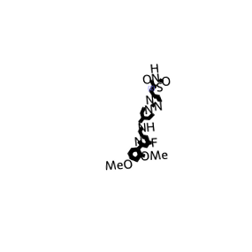 COc1ccc(-c2cc(F)cc(CNCC3CCN(c4nccc(/C=C5\SC(=O)NC5=O)n4)CC3)n2)c(OC)c1